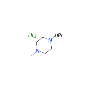 CCCN1CCN(C)CC1.Cl